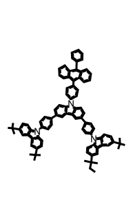 CCC(C)(C)c1ccc2c(c1)c1cc(C(C)(C)C)ccc1n2-c1ccc(-c2ccc3c(c2)c2cc(-c4ccc(-n5c6ccc(C(C)(C)C)cc6c6cc(C(C)(C)C)ccc65)cc4)ccc2n3-c2ccc(-c3c4ccccc4c(-c4ccccc4)c4ccccc34)cc2)cc1